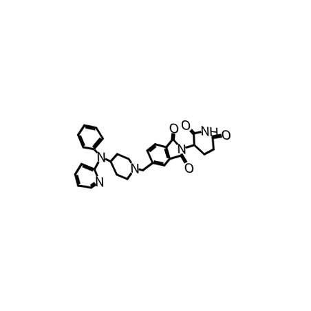 O=C1CCC(N2C(=O)c3ccc(CN4CCC(N(c5ccccc5)c5ccccn5)CC4)cc3C2=O)C(=O)N1